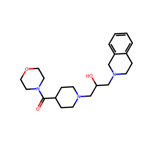 O=C(C1CCN(CC(O)CN2CCc3ccccc3C2)CC1)N1CCOCC1